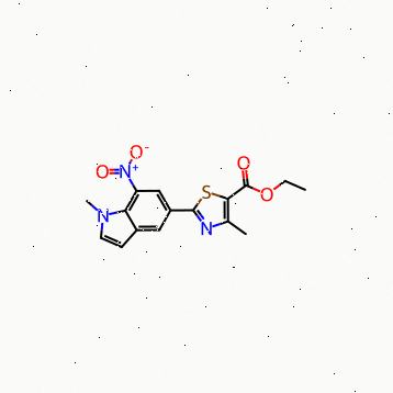 CCOC(=O)c1sc(-c2cc([N+](=O)[O-])c3c(ccn3C)c2)nc1C